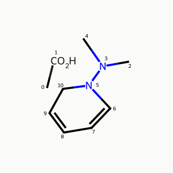 CC(=O)O.CN(C)N1C=CC=CC1